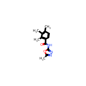 Cc1nnc(NC(=O)c2ccc(C)c(C)c2C)o1